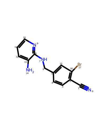 N#Cc1ccc(CNc2ncccc2N)cc1Br